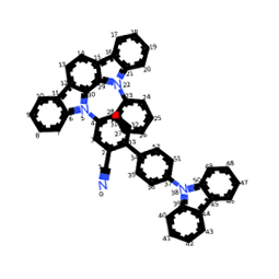 N#Cc1cc(-n2c3ccccc3c3ccc4c5ccccc5n(-c5ccccc5)c4c32)ccc1-c1ccc(-n2c3ccccc3c3ccccc32)cc1